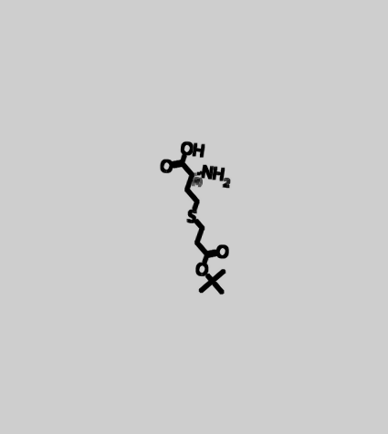 CC(C)(C)OC(=O)CCSCC[C@@H](N)C(=O)O